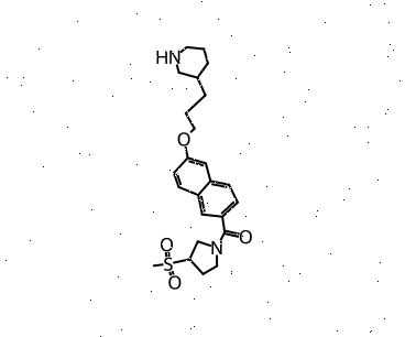 CS(=O)(=O)C1CCN(C(=O)c2ccc3cc(OCCCC4CCCNC4)ccc3c2)C1